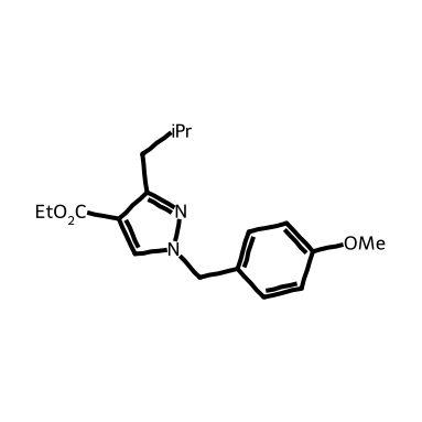 CCOC(=O)c1cn(Cc2ccc(OC)cc2)nc1CC(C)C